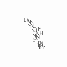 CCN1CCN(c2ccc(Nc3ncc(F)c(-c4cnn(C(C)C)c4)n3)c(F)c2)CC1